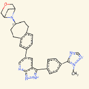 Cn1ncnc1-c1ccc(-c2[nH]nc3ncc(-c4ccc5c(c4)CC[C@@H](N4C6COCC4C6)CC5)cc23)cc1